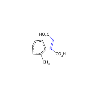 Cc1ccccc1.O=C(O)/N=N/C(=O)O